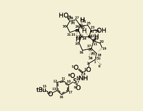 C[C@H](COC(=O)NS(=O)(=O)c1ccc(OC(C)(C)C)cc1)[C@H]1CC[C@H]2[C@@H]3[C@H](O)C[C@@H]4C[C@H](O)CC[C@]4(C)[C@H]3CC[C@]12C